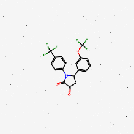 O=C1C[C@H](c2cccc(OC(F)(F)F)c2)N(c2ccc(C(F)(F)F)cc2)C1=O